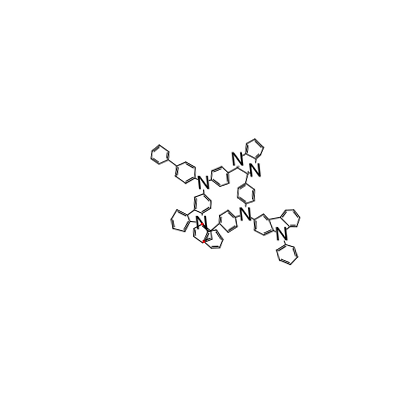 c1ccc(-c2ccc(N(c3ccc(-c4nc5ccccc5nc4-c4ccc(N(c5ccc(-c6ccccc6)cc5)c5ccc6c(c5)c5ccccc5n6-c5ccccc5)cc4)cc3)c3ccc4c(c3)c3ccccc3n4-c3ccccc3)cc2)cc1